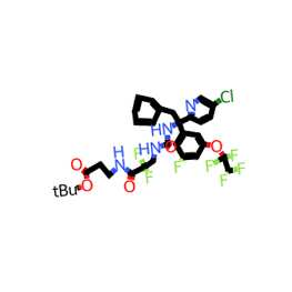 CC(C)(C)OC(=O)CCNC(=O)C(F)(F)CNC(=O)NC(Cc1ccccc1)(c1cc(F)cc(OC(F)(F)C(F)F)c1)c1ccc(Cl)cn1